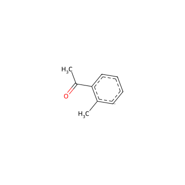 CC(=O)c1ccc[c]c1C